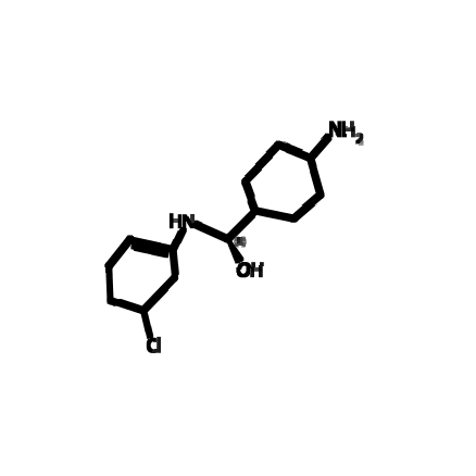 NC1CCC([C@@H](O)NC2=CCCC(Cl)C2)CC1